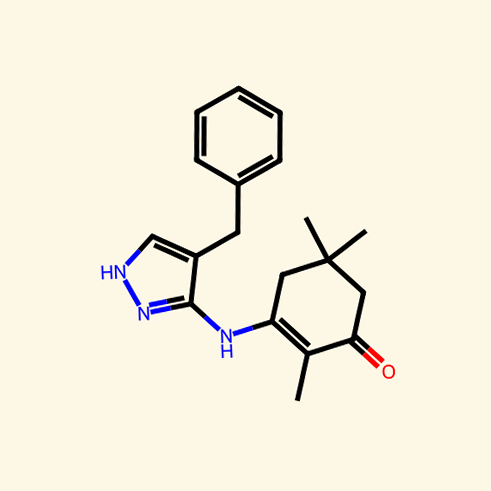 CC1=C(Nc2n[nH]cc2Cc2ccccc2)CC(C)(C)CC1=O